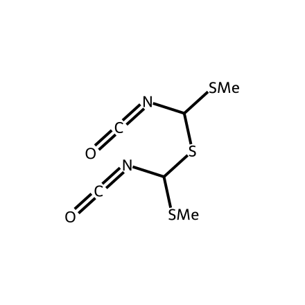 CSC(N=C=O)SC(N=C=O)SC